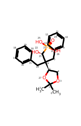 CC1(C)OC[C@H](C(Cc2ccccc2)(Cc2ccccc2)[C@H](O)P(=O)(O)O)O1